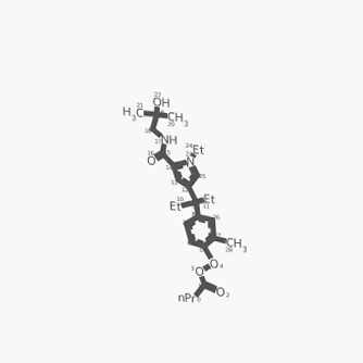 CCCC(=O)OOc1ccc(C(CC)(CC)c2cc(C(=O)NCC(C)(C)O)n(CC)c2)cc1C